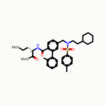 COC(=O)[C@H](CCSC)NC(=O)c1ccc(CN(CCC2CCCCC2)S(=O)(=O)c2ccc(C)cc2)cc1-c1ccccc1C